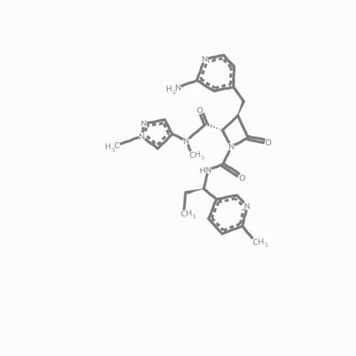 CC[C@@H](NC(=O)N1C(=O)[C@H](Cc2ccnc(N)c2)[C@H]1C(=O)N(C)c1cnn(C)c1)c1ccc(C)nc1